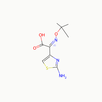 CC(C)(C)O/N=C(\C(=O)O)c1csc(N)n1